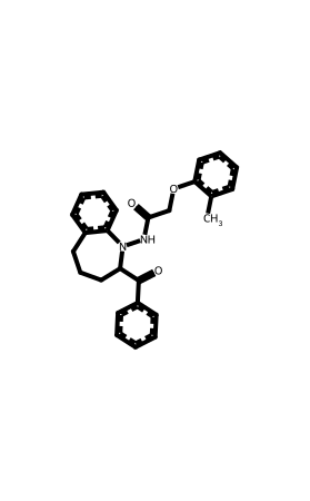 Cc1ccccc1OCC(=O)NN1c2ccccc2CCCC1C(=O)c1ccccc1